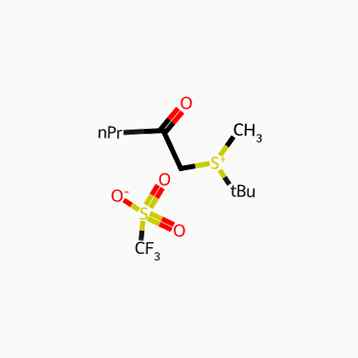 CCCC(=O)C[S+](C)C(C)(C)C.O=S(=O)([O-])C(F)(F)F